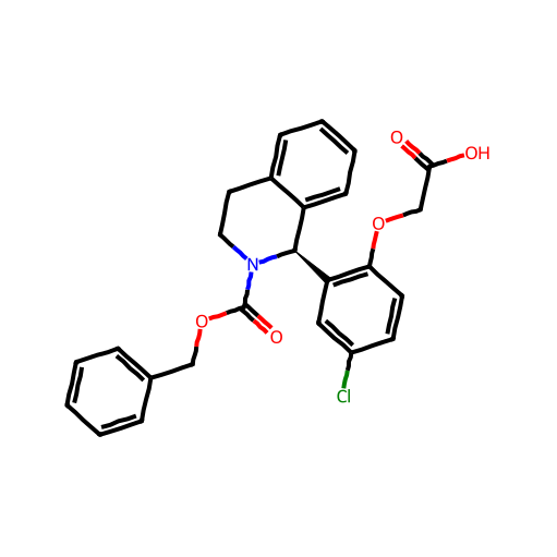 O=C(O)COc1ccc(Cl)cc1[C@@H]1c2ccccc2CCN1C(=O)OCc1ccccc1